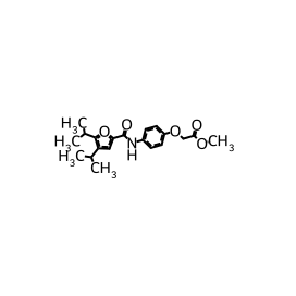 COC(=O)COc1ccc(NC(=O)c2cc(C(C)C)c(C(C)C)o2)cc1